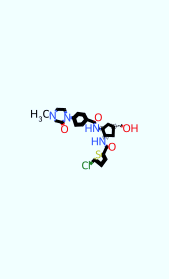 CN1CCN(c2ccc(C(=O)N[C@H]3C[C@H](CO)C[C@H]3NC(=O)c3ccc(Cl)s3)cc2)C(=O)C1